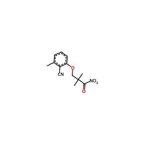 Cc1cccc(OCC(C)(C)C(=O)[N+](=O)[O-])c1C#N